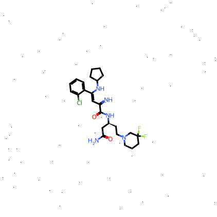 N=C(/C=C(\NC1CCCC1)c1ccccc1Cl)C(=O)N[C@@H](CCN1CCCC(F)(F)C1)CC(N)=O